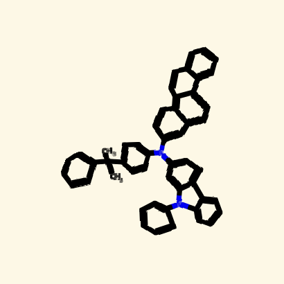 CC(C)(c1ccccc1)c1ccc(N(c2ccc3c(ccc4c5ccccc5ccc34)c2)c2ccc3c4ccccc4n(-c4ccccc4)c3c2)cc1